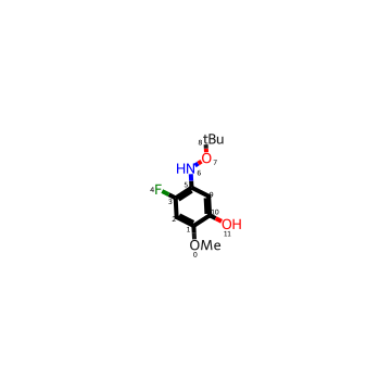 COc1cc(F)c(NOC(C)(C)C)cc1O